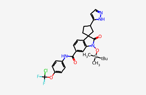 CC(C)(C)[Si](C)(C)ON1C(=O)C2(CCC(c3ccn[nH]3)C2)c2ccc(C(=O)Nc3ccc(OC(F)(F)Cl)cc3)cc21